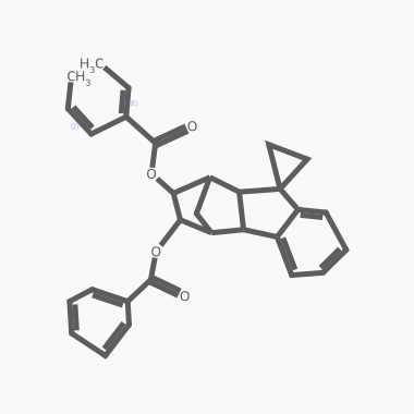 C/C=C\C(=C/C)C(=O)OC1C2CC(C1OC(=O)c1ccccc1)C1c3ccccc3C3(CC3)C21